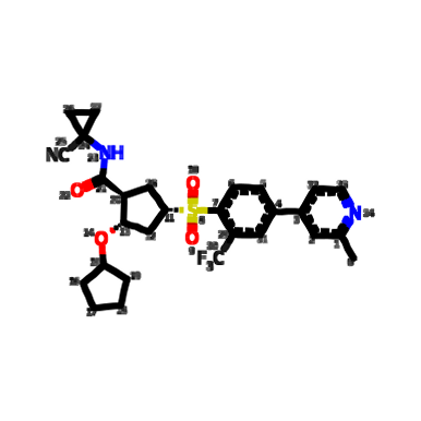 Cc1cc(-c2ccc(S(=O)(=O)[C@@H]3C[C@H](OC4CCCC4)[C@@H](C(=O)NC4(C#N)CC4)C3)c(C(F)(F)F)c2)ccn1